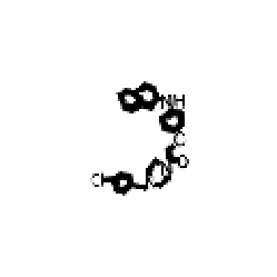 O=C(COc1ccc(Nc2ccc3ccccc3c2)cc1)N1CCN(Cc2ccc(Cl)cc2)CC1